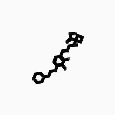 COC(=O)C1(NC/N=C/c2ccc(OCCN3CCOCC3)c(F)c2F)CCC1